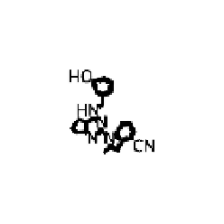 Cc1cc2c(C#N)cccc2n1-c1nc2c(c(NCc3cccc(O)c3)n1)CCC2